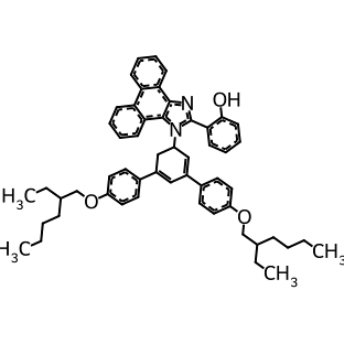 CCCCC(CC)COc1ccc(C2=CC(n3c(-c4ccccc4O)nc4c5ccccc5c5ccccc5c43)CC(c3ccc(OCC(CC)CCCC)cc3)=C2)cc1